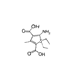 CCS1(CC)C(N)=C(C(=O)O)C(C)=C1C(=O)O